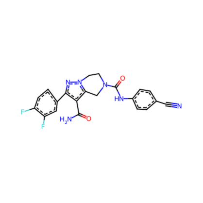 N#Cc1ccc(NC(=O)N2CCn3nc(-c4ccc(F)c(F)c4)c(C(N)=O)c3C2)cc1